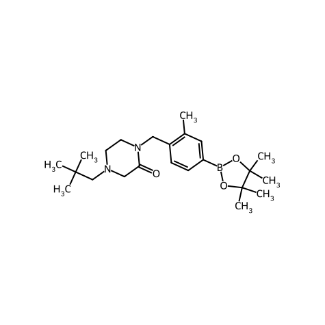 Cc1cc(B2OC(C)(C)C(C)(C)O2)ccc1CN1CCN(CC(C)(C)C)CC1=O